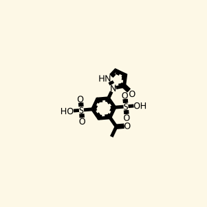 CC(=O)c1cc(S(=O)(=O)O)cc(-n2[nH]ccc2=O)c1S(=O)(=O)O